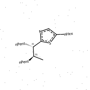 CCCCCCc1cnc([C@@H](CCCCC)[C@@H](C)CCCCC)s1